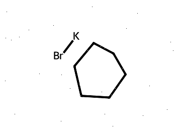 C1CCCCC1.[K][Br]